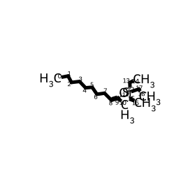 CCCCCCCCC=C(C)O[Si](CC)(CC)CC